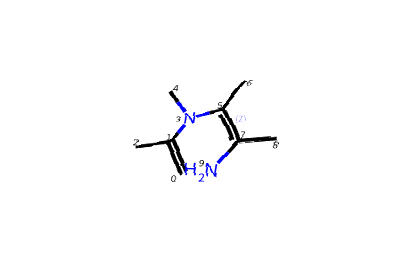 C=C(C)N(C)/C(C)=C(/C)N